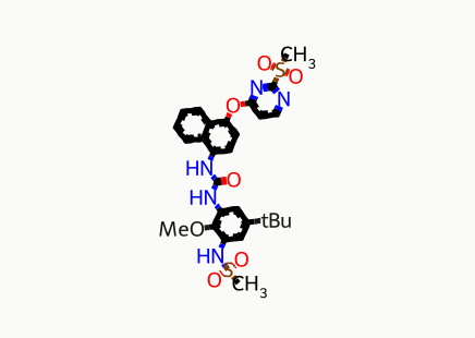 COc1c(NC(=O)Nc2ccc(Oc3ccnc(S(C)(=O)=O)n3)c3ccccc23)cc(C(C)(C)C)cc1NS(C)(=O)=O